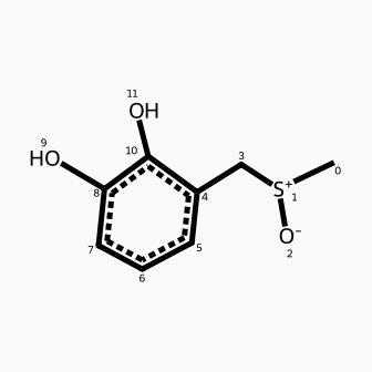 C[S+]([O-])Cc1cccc(O)c1O